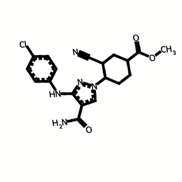 COC(=O)C1CCC(n2cc(C(N)=O)c(Nc3ccc(Cl)cc3)n2)C(C#N)C1